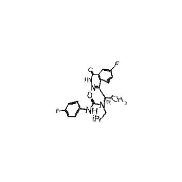 CC(C)CN(C(=O)Nc1ccc(F)cc1)[C@H](C)c1n[nH]c(=O)c2cc(F)ccc12